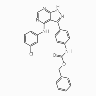 O=C(Nc1ccc(-c2n[nH]c3ncnc(Nc4cccc(Cl)c4)c23)cc1)OCc1ccccc1